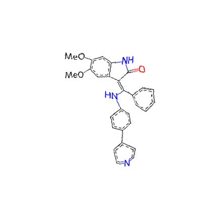 COc1cc2c(cc1OC)C(=C(Nc1ccc(-c3ccncc3)cc1)c1ccccc1)C(=O)N2